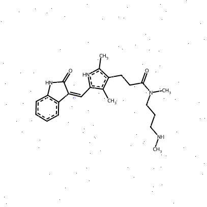 CNCCCN(C)C(=O)CCc1c(C)[nH]c(/C=C2\C(=O)Nc3ccccc32)c1C